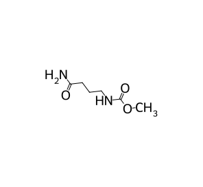 COC(=O)NCCCC(N)=O